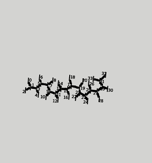 II(I)I(I)I(I)I(I)I(I)I(I)I(I)I(I)I(I)I(I)I(I)I(I)I(I)I(I)I(I)I(I)I